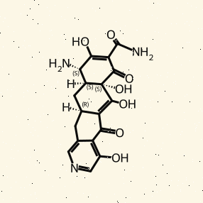 NC(=O)C1=C(O)[C@@H](N)[C@@H]2C[C@@H]3Cc4cncc(O)c4C(=O)C3=C(O)[C@]2(O)C1=O